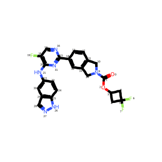 O=C(OC1CC(F)(F)C1)N1Cc2ccc(-c3ncc(F)c(Nc4ccc5[nH]ncc5c4)n3)cc2C1